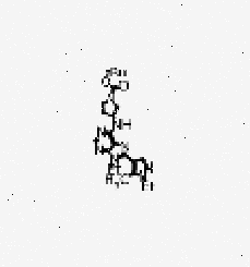 CCn1ncc(-c2nc3c(NC4CCN(C(=O)OC(C)(C)C)C4)ncnc3n2CC)c1C